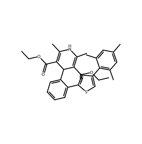 CCOC(=O)C1=C(C)NC(C)=C(C(=O)OCC)C1c1ccccc1-c1nc(-c2c(C)cc(C)cc2C)cs1